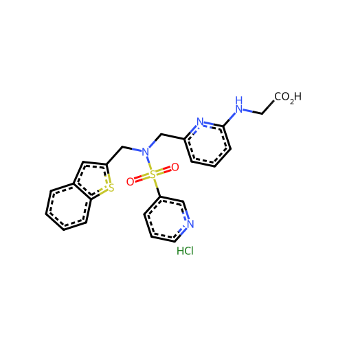 Cl.O=C(O)CNc1cccc(CN(Cc2cc3ccccc3s2)S(=O)(=O)c2cccnc2)n1